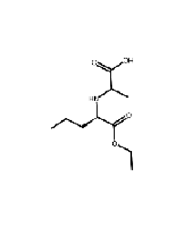 CCC[C@@H](NC(C)C(=O)O)C(=O)OCC